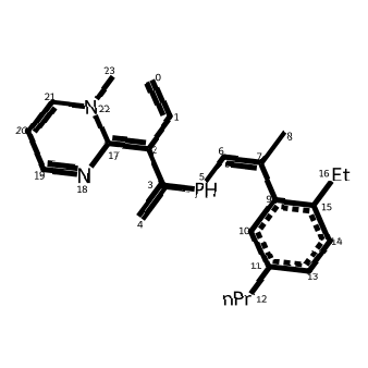 C=C/C(C(=C)P/C=C(/C)c1cc(CCC)ccc1CC)=C1/N=CC=CN1C